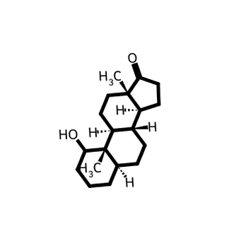 C[C@]12C(O)CCC[C@@H]1CC[C@@H]1[C@@H]2CC[C@]2(C)C(=O)CC[C@@H]12